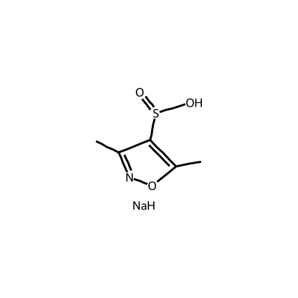 Cc1noc(C)c1S(=O)O.[NaH]